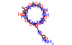 C/C=C/C[C@@H](C)[C@@H](O)[C@H]1C(=O)N[C@@H](CC)C(=O)N(C)CC(=O)N(C)[C@@H]([C@@H](C)OCCC/C=N/OCc2ccc3oc(N)nc3c2)C(=O)N[C@@H](C(C)C)C(=O)N(C)[C@@H](CC(C)C)C(=O)N[C@@H](C)C(=O)N[C@H](C)C(=O)N(C)[C@@H](CC(C)C)C(=O)N(C)[C@H](CC(C)C)C(=O)N(C)[C@@H](C(C)C)C(=O)N1C